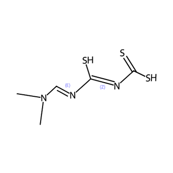 CN(C)/C=N/C(S)=N/C(=S)S